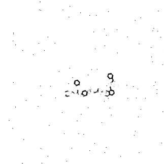 O=C(NS(=O)(=O)c1ccc(N[C@H](CCN2CCOCC2)CSc2ccccc2)c(F)c1)c1csc(N2CCc3cccc(C(=O)Nc4nc5ccccc5s4)c3C2)n1